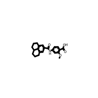 COc1cc(NC(=O)c2cc3c4c(c2)CCCC4CCC3)ccc1C(=O)O